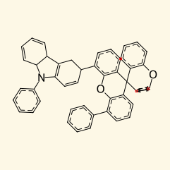 C1=CC2C3=C(C=CC(c4cccc5c4Oc4c(-c6ccccc6)cccc4C54c5ccccc5Oc5ccccc54)C3)N(c3ccccc3)C2C=C1